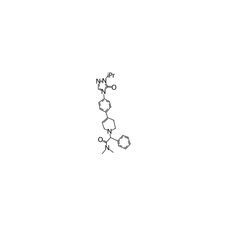 CC(C)n1ncn(-c2ccc(C3=CCN(C(C(=O)N(C)C)c4ccccc4)CC3)cc2)c1=O